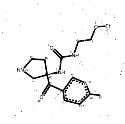 CCOCCNC(=O)N[C@]1(C(=O)c2ccc(C)nc2)CCNC1